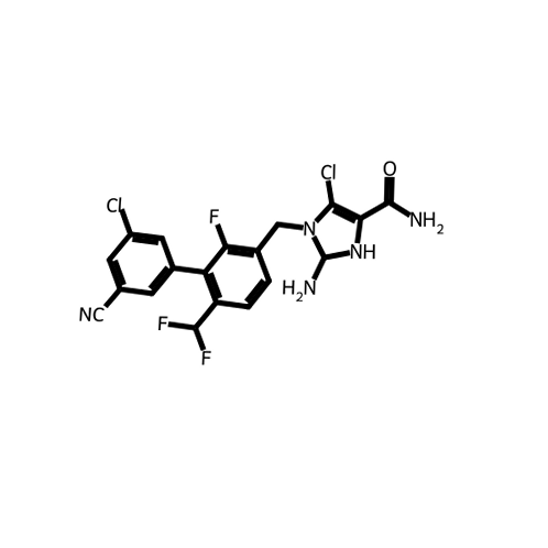 N#Cc1cc(Cl)cc(-c2c(C(F)F)ccc(CN3C(Cl)=C(C(N)=O)NC3N)c2F)c1